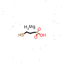 O=S(=O)(O)CCCS.[MgH2]